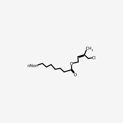 CCCCCCCCCCCCCCCC(=O)OCC=C(C)CCl